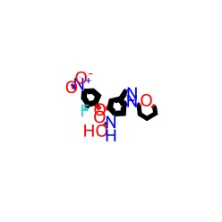 O=C(O)Nc1cc2c(cnn2C2CCCCO2)cc1Oc1ccc([N+](=O)[O-])cc1F